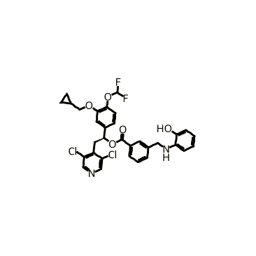 O=C(O[C@@H](Cc1c(Cl)cncc1Cl)c1ccc(OC(F)F)c(OCC2CC2)c1)c1cccc(CNc2ccccc2O)c1